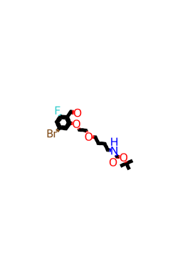 CC(C)(C)OC(=O)NCCCCOCCOc1cc(Br)cc(F)c1C=O